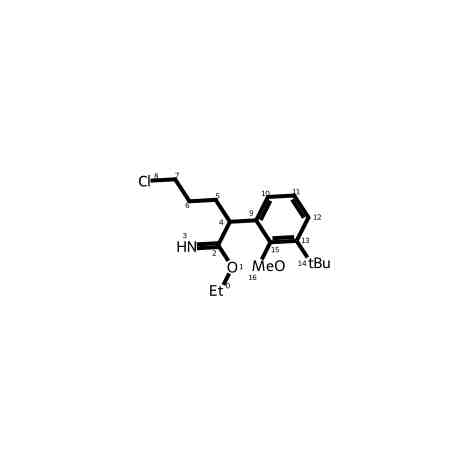 CCOC(=N)C(CCCCl)c1cccc(C(C)(C)C)c1OC